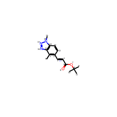 Cc1c(/C=C/C(=O)OC(C)(C)C)ccc2c1nnn2C